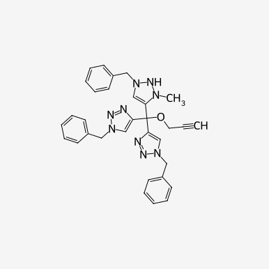 C#CCOC(C1=CN(Cc2ccccc2)NN1C)(c1cn(Cc2ccccc2)nn1)c1cn(Cc2ccccc2)nn1